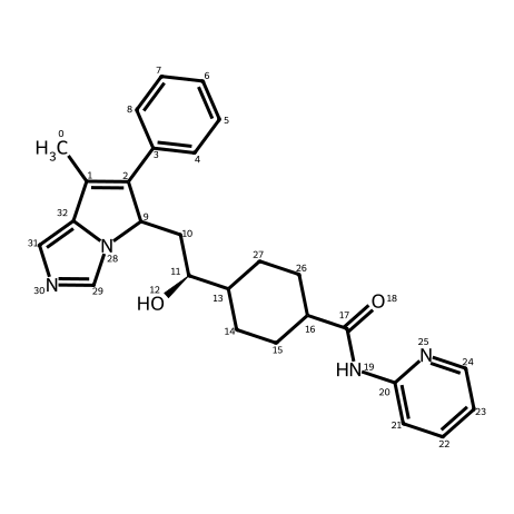 CC1=C(c2ccccc2)C(C[C@H](O)C2CCC(C(=O)Nc3ccccn3)CC2)n2cncc21